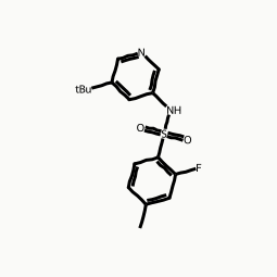 Cc1ccc(S(=O)(=O)Nc2cncc(C(C)(C)C)c2)c(F)c1